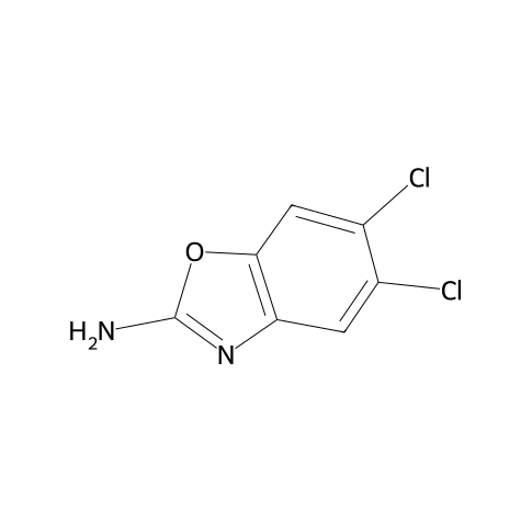 Nc1nc2cc(Cl)c(Cl)cc2o1